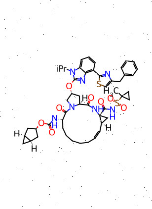 CC(C)n1c(O[C@@H]2C[C@H]3C(=O)N[C@]4(C(=O)NS(=O)(=O)C5(C)CC5)C[C@H]4/C=C\CCCCC[C@H](NC(=O)O[C@@H]4C[C@@H]5C[C@@H]5C4)C(=O)N3C2)nc2c(-c3nc(Cc4ccccc4)cs3)cccc21